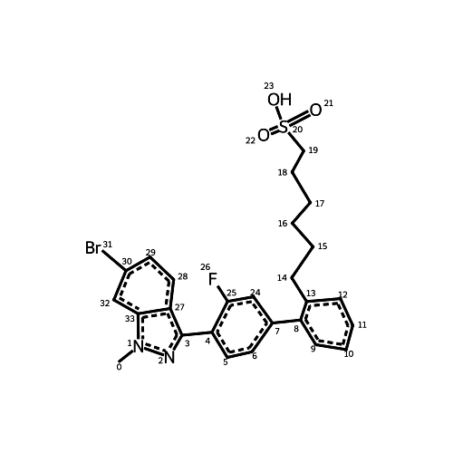 Cn1nc(-c2ccc(-c3ccccc3CCCCCCS(=O)(=O)O)cc2F)c2ccc(Br)cc21